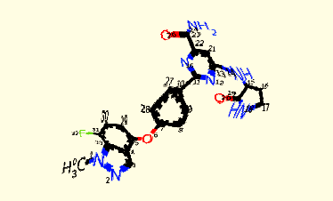 Cn1ncc2c(Oc3ccc(-c4nc(NC5CCNC5=O)cc(C(N)=O)n4)cc3)ccc(F)c21